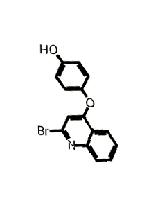 Oc1ccc(Oc2cc(Br)nc3ccccc23)cc1